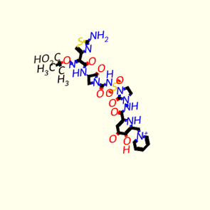 CC(C)(ON=C(C(=O)N[C@H]1CN(C(=O)NS(=O)(=O)N2CCN(NC(=O)c3cc(=O)c(O)c(C[n+]4ccccc4)[nH]3)C2=O)C1=O)c1csc(N)n1)C(=O)O